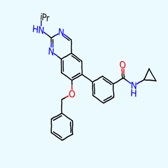 CC(C)Nc1ncc2cc(-c3cccc(C(=O)NC4CC4)c3)c(OCc3ccccc3)cc2n1